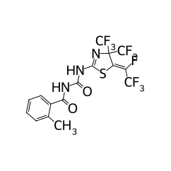 Cc1ccccc1C(=O)NC(=O)NC1=NC(C(F)(F)F)(C(F)(F)F)/C(=C(\F)C(F)(F)F)S1